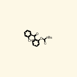 CCCCC(=O)Oc1ccccc1C(=O)c1ccccc1[C]=O